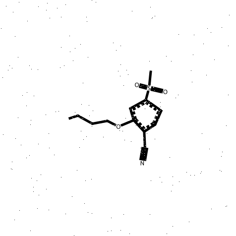 CCCCOc1cc(S(C)(=O)=O)ccc1C#N